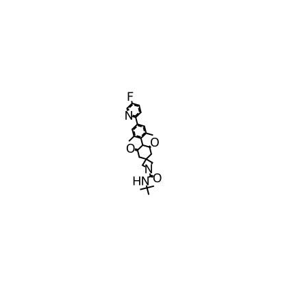 Cc1cc(-c2ccc(F)cn2)cc(C)c1C1C(=O)CC2(CC1=O)CN(C(=O)NC(C)(C)C)C2